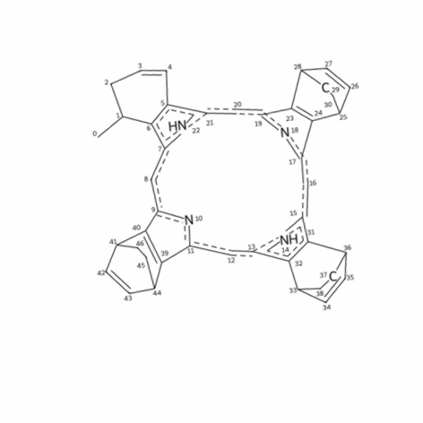 CC1CC=Cc2c1c1cc3nc(cc4[nH]c(cc5nc(cc2[nH]1)C1=C5C2C=CC1CC2)c1c4C2C=CC1CC2)C1=C3C2C=CC1CC2